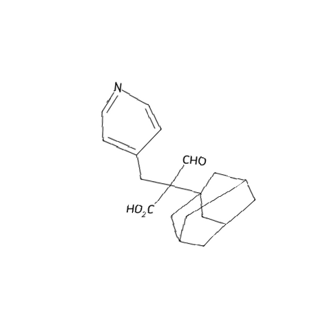 O=CC(Cc1ccncc1)(C(=O)O)C12CC3CC(CC(C3)C1)C2